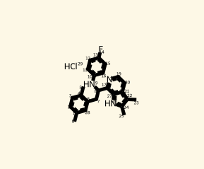 Cc1ccc(C)c(CC(Nc2ccc(F)cc2)c2nccc3c(C)c(C)[nH]c23)c1.Cl